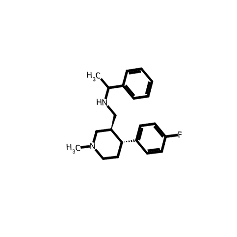 CC(NC[C@@H]1CN(C)CC[C@H]1c1ccc(F)cc1)c1ccccc1